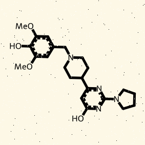 COc1cc(CN2CCC(c3cc(O)nc(N4CCCC4)n3)CC2)cc(OC)c1O